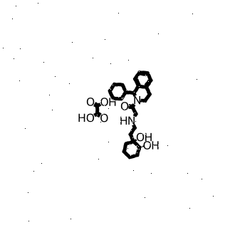 O=C(CNCC[C@@]1(O)CCCC[C@H]1O)N1CCc2ccccc2C1C1CCCCC1.O=C(O)C(=O)O